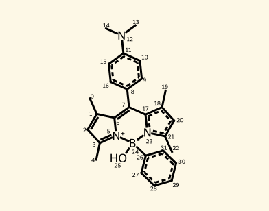 CC1=CC(C)=[N+]2C1=C(c1ccc(N(C)C)cc1)c1c(C)cc(C)n1[B-]2(O)c1ccccc1